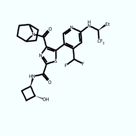 CC[C@H](Nc1cc(C(F)F)c(-c2sc(C(=O)N[C@@H]3CC[C@H]3O)nc2C(=O)N2C3CCC2CC3)cn1)C(F)(F)F